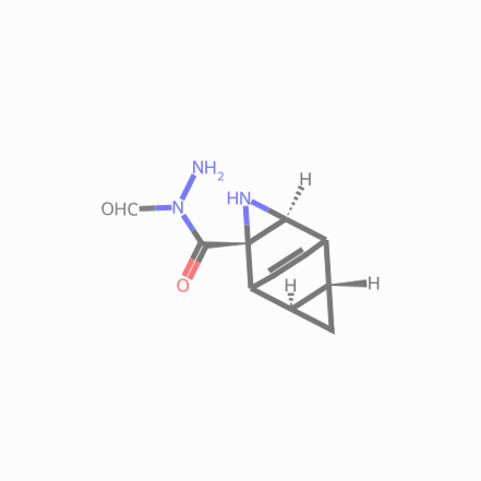 NN(C=O)C(=O)[C@@]12N[C@H]1C1C=CC2[C@@H]2C[C@@H]12